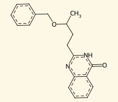 CC(CCc1nc2ccccc2c(=O)[nH]1)OCc1ccccc1